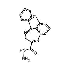 NNC(=O)C1=Nc2cccc(Cl)c2C(c2ccccc2)=NC1